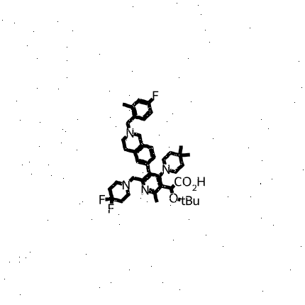 Cc1cc(F)ccc1CN1CCc2cc(-c3c(CN4CCC(F)(F)CC4)nc(C)c(C(OC(C)(C)C)C(=O)O)c3N3CCC(C)(C)CC3)ccc2C1